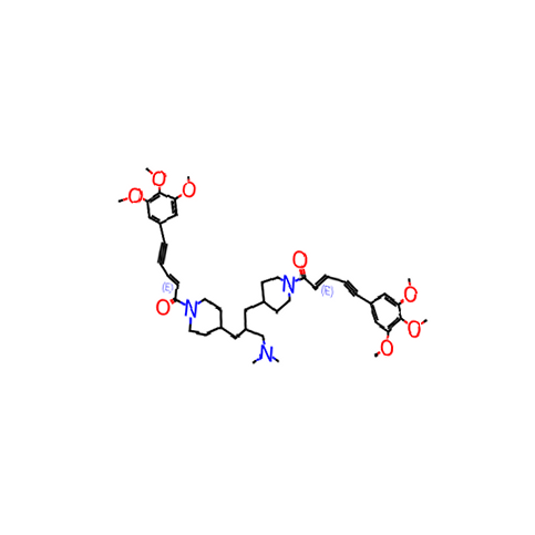 COc1cc(C#C/C=C/C(=O)N2CCC(CC(CC3CCN(C(=O)/C=C/C#Cc4cc(OC)c(OC)c(OC)c4)CC3)CN(C)C)CC2)cc(OC)c1OC